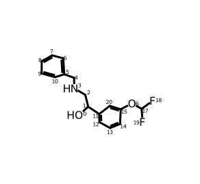 OC(CNCc1ccccc1)c1cccc(OC(F)F)c1